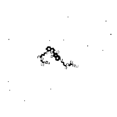 CCCCC(CC)COC(=O)CCCOc1ccc2c(c1)C(=O)C(c1ccc3cccc(OCCCC(=O)OCC(CC)CCCC)c3n1)C2=O